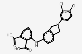 O=C(O)c1cccc(Nc2ccc3c(c2)CN(c2ccc(Cl)c(Cl)c2)C3)c1C(=O)O